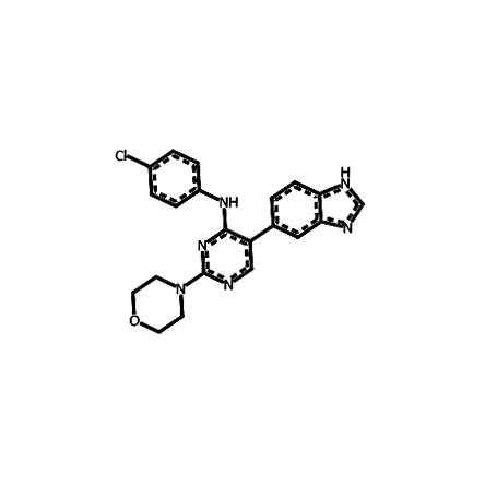 Clc1ccc(Nc2nc(N3CCOCC3)ncc2-c2ccc3[nH]cnc3c2)cc1